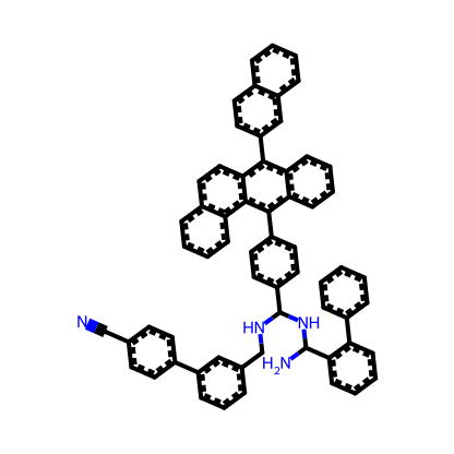 N#Cc1ccc(-c2cccc(CNC(NC(N)c3ccccc3-c3ccccc3)c3ccc(-c4c5ccccc5c(-c5ccc6ccccc6c5)c5ccc6ccccc6c45)cc3)c2)cc1